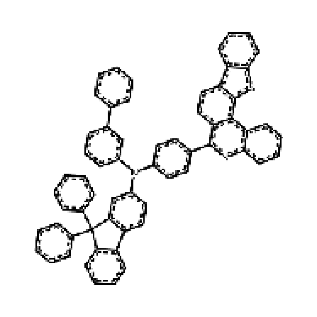 c1ccc(-c2cccc(N(c3ccc(-c4nc5ccccc5c5c4ccc4c6ccccc6sc45)cc3)c3ccc4c(c3)C(c3ccccc3)(c3ccccc3)c3ccccc3-4)c2)cc1